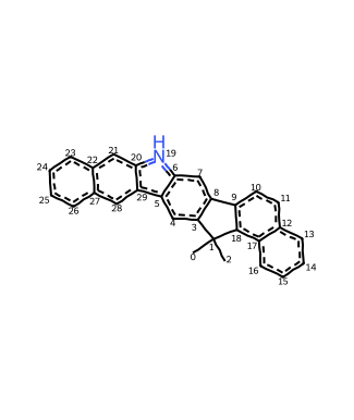 CC1(C)c2cc3c(cc2-c2ccc4ccccc4c21)[nH]c1cc2ccccc2cc13